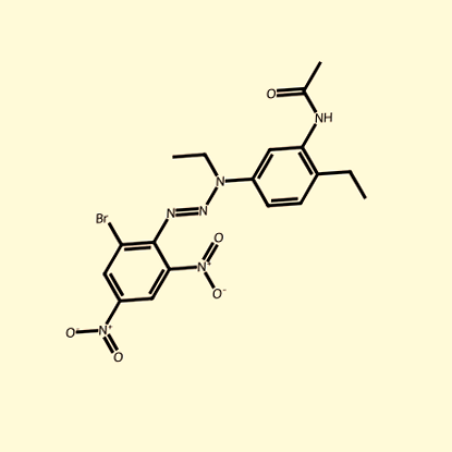 CCc1ccc(N(CC)N=Nc2c(Br)cc([N+](=O)[O-])cc2[N+](=O)[O-])cc1NC(C)=O